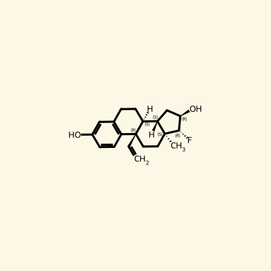 C=C[C@]12CC[C@]3(C)[C@@H](F)[C@H](O)C[C@H]3[C@@H]1CCc1cc(O)ccc12